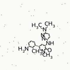 CCN(CC)c1ccc(Nc2cc(-c3cccc(N)c3C)cn(C)c2=O)nn1